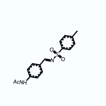 CC(=O)Nc1ccc(C=NS(=O)(=O)c2ccc(C)cc2)cc1